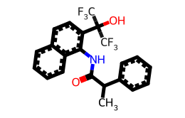 CC(C(=O)Nc1c(C(O)(C(F)(F)F)C(F)(F)F)ccc2ccccc12)c1ccccc1